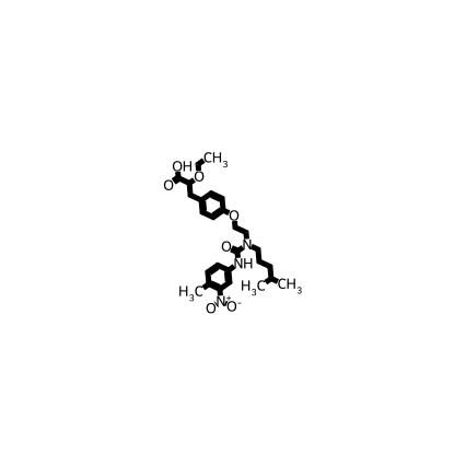 CCOC(Cc1ccc(OCCN(CCCC(C)C)C(=O)Nc2ccc(C)c([N+](=O)[O-])c2)cc1)C(=O)O